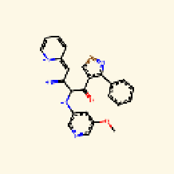 COc1cncc(NC(C(=N)/C=C2/C=CC=CN2)C(=O)c2csnc2-c2ccccc2)c1